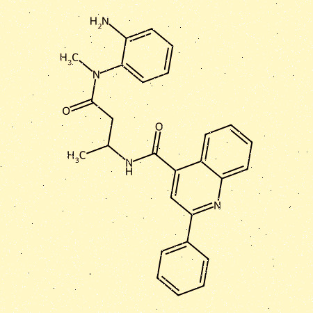 CC(CC(=O)N(C)c1ccccc1N)NC(=O)c1cc(-c2ccccc2)nc2ccccc12